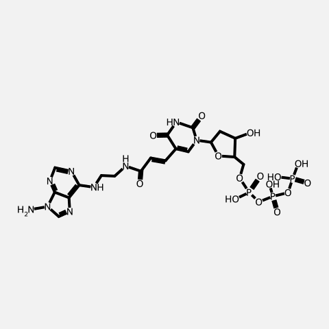 Nn1cnc2c(NCCNC(=O)/C=C/c3cn(C4CC(O)C(COP(=O)(O)OP(=O)(O)OP(=O)(O)O)O4)c(=O)[nH]c3=O)ncnc21